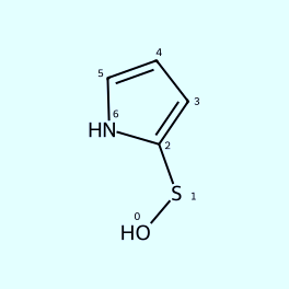 OSc1ccc[nH]1